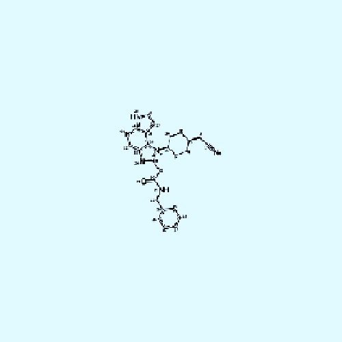 N#CC[C@H]1CC[C@@H](n2c(CC(=O)NCc3ccccc3)nc3cnc4[nH]ccc4c32)CC1